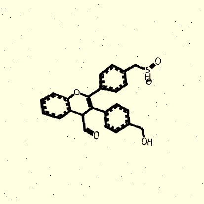 O=CC1C(c2ccc(CO)cc2)=C(c2ccc(C[SH](=O)=O)cc2)Oc2ccccc21